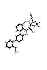 CC(C)(C)O[C@]1(N=C=O)CCc2ccccc2N(Cc2ccc(-c3ccccc3CN)cc2)C1=O